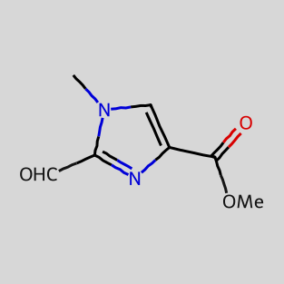 COC(=O)c1cn(C)c(C=O)n1